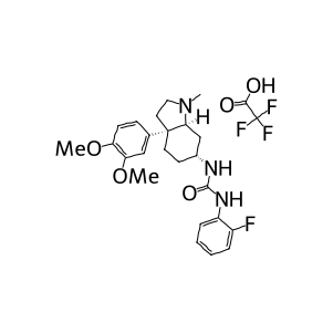 COc1ccc([C@@]23CC[C@@H](NC(=O)Nc4ccccc4F)C[C@@H]2N(C)CC3)cc1OC.O=C(O)C(F)(F)F